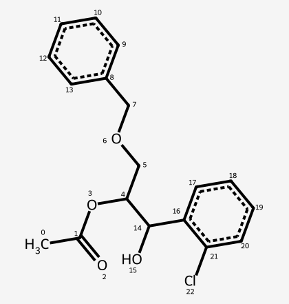 CC(=O)OC(COCc1ccccc1)C(O)c1ccccc1Cl